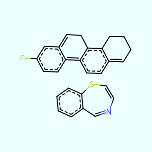 C1=CSc2ccccc2C=N1.Fc1ccc2c(c1)=CCc1c3c(ccc1=2)=CCCC3